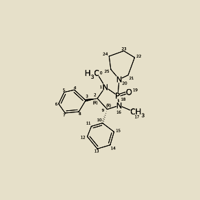 CN1[C@H](c2ccccc2)[C@@H](c2ccccc2)N(C)P1(=O)N1CCCCC1